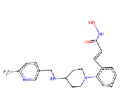 O=C(/C=C/c1ccccc1N1CCC(NCc2ccc(C(F)(F)F)nc2)CC1)NO